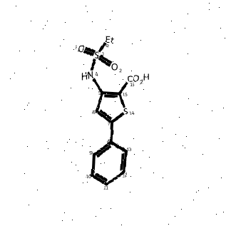 CCS(=O)(=O)Nc1cc(-c2ccccc2)sc1C(=O)O